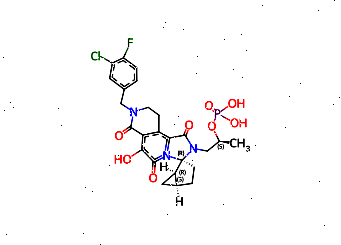 C[C@@H](CN1C(=O)c2c3c(c(O)c(=O)n2[C@@]12CC[C@H]1C[C@H]12)C(=O)N(Cc1ccc(F)c(Cl)c1)CC3)OP(=O)(O)O